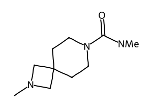 CNC(=O)N1CCC2(CC1)CN(C)C2